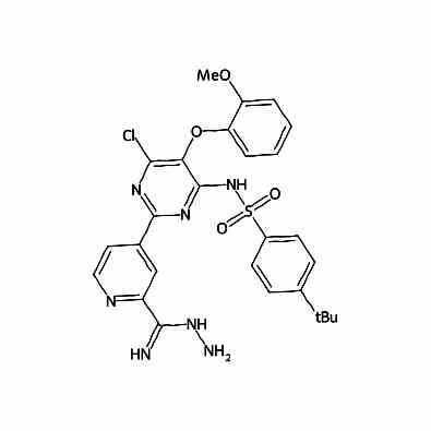 COc1ccccc1Oc1c(Cl)nc(-c2ccnc(C(=N)NN)c2)nc1NS(=O)(=O)c1ccc(C(C)(C)C)cc1